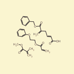 C=C(C)C(=O)OC.C=C(CC=CC(=O)O)C(=O)OCc1ccccc1.C=CC(=O)OCCOc1ccccc1